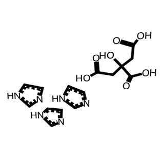 O=C(O)CC(O)(CC(=O)O)C(=O)O.c1c[nH]cn1.c1c[nH]cn1.c1c[nH]cn1